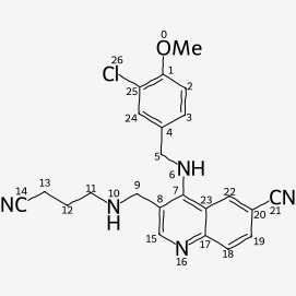 COc1ccc(CNc2c(CNCCCC#N)cnc3ccc(C#N)cc23)cc1Cl